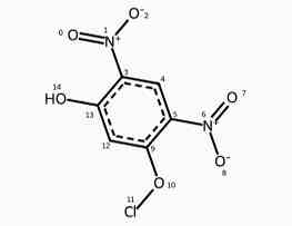 O=[N+]([O-])c1cc([N+](=O)[O-])c(OCl)cc1O